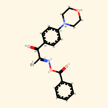 CC/C(=N\OC(=O)c1ccccc1)C(=O)c1ccc(N2CCOCC2)cc1